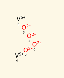 [O-2].[O-2].[O-2].[O-2].[V+5].[V+5]